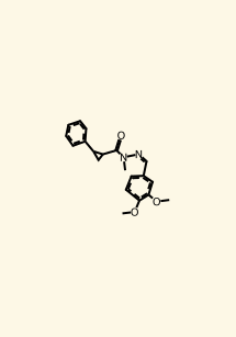 COc1ccc(/C=N\N(C)C(=O)C2CC2c2ccccc2)cc1OC